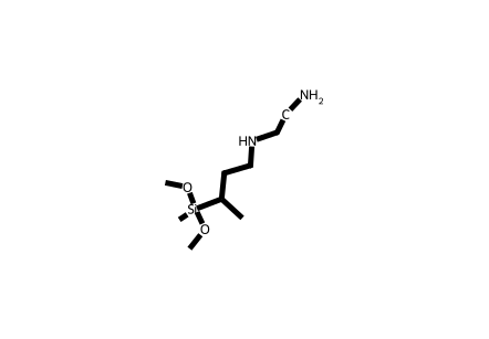 CO[Si](C)(OC)C(C)CCNCCN